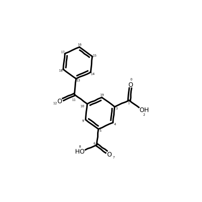 O=C(O)c1cc(C(=O)O)cc(C(=O)c2ccccc2)c1